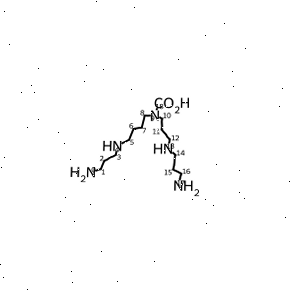 NCCCNCCCCN(CCCNCCCN)C(=O)O